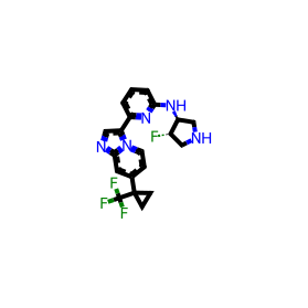 F[C@H]1CNC[C@@H]1Nc1cccc(-c2cnc3cc(C4(C(F)(F)F)CC4)ccn23)n1